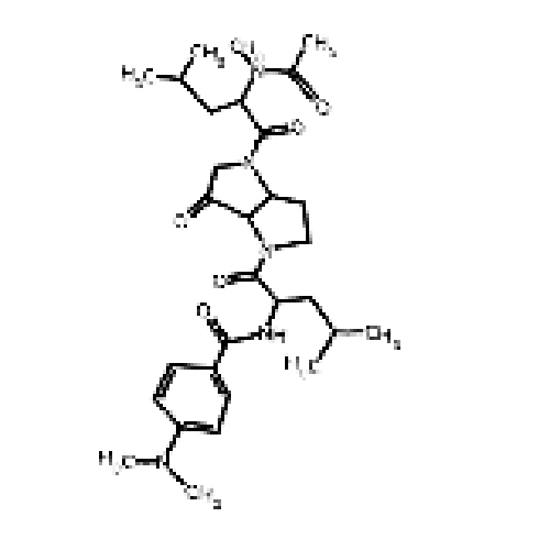 CC(=O)N(C)C(CC(C)C)C(=O)N1CC(=O)C2C1CCN2C(=O)C(CC(C)C)NC(=O)c1ccc(N(C)C)cc1